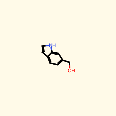 OCc1ccc2[c]c[nH]c2c1